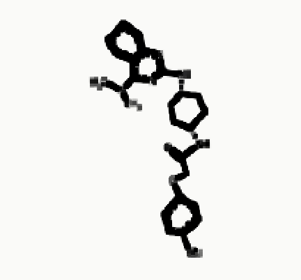 CN(C)c1nc(N[C@H]2CC[C@@H](NC(=O)COc3ccc(C(C)(C)C)cc3)CC2)nc2ccccc12